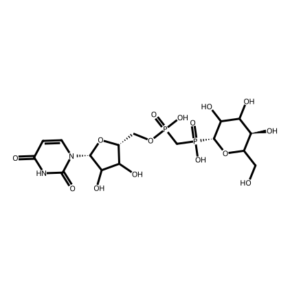 O=c1ccn([C@@H]2O[C@H](COP(=O)(O)CP(=O)(O)[C@H]3OC(CO)[C@H](O)C(O)C3O)C(O)C2O)c(=O)[nH]1